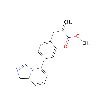 C=C(Cc1ccc(-c2cccc3cncn23)cc1)C(=O)OC